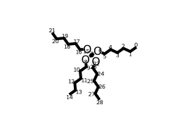 CCCCCCOC(OCCCCCC)(OCCCCCC)OCCCCCC